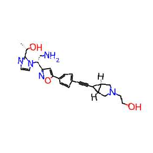 C[C@H](O)c1nccn1[C@H](CN)c1cc(-c2ccc(C#CC3[C@H]4CN(CCO)C[C@@H]34)cc2)on1